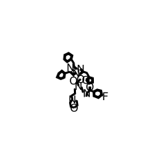 CN(CCN(CCCN1CCOCC1)C(=O)Oc1c(Cc2ccco2)nc2c(Cc3ccccc3)nc(-c3ccccc3)cn12)C(=O)c1ccc(F)cc1